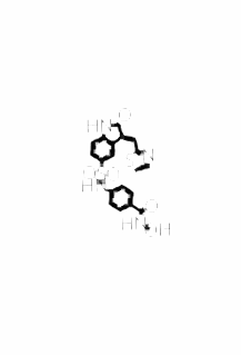 O=C1Nc2ccc(S(=O)(=O)Nc3ccc(C(=O)NO)cc3)cc2/C1=C\c1nccs1